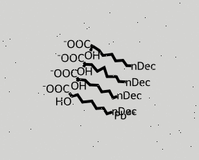 CCCCCCCCCCCCCCCCC(O)C(=O)[O-].CCCCCCCCCCCCCCCCC(O)C(=O)[O-].CCCCCCCCCCCCCCCCC(O)C(=O)[O-].CCCCCCCCCCCCCCCCC(O)C(=O)[O-].[Pb+4]